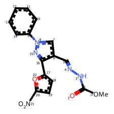 COC(=O)N/N=C/c1cn(-c2ccccc2)nc1-c1ccc([N+](=O)[O-])o1